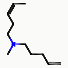 C=CCCCN(C)CC/C=C\C